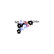 COc1ccc(S(=O)(=O)NC(=O)c2cc3c(NC4CCCCC4)ccc(N=O)c3[nH]2)cc1